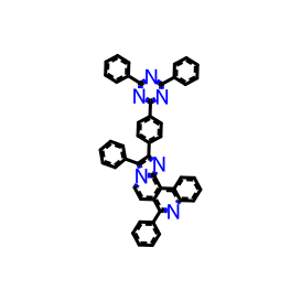 c1ccc(-c2nc(-c3ccccc3)nc(-c3ccc(-c4nc5c6c(ccn5c4-c4ccccc4)c(-c4ccccc4)nc4ccccc46)cc3)n2)cc1